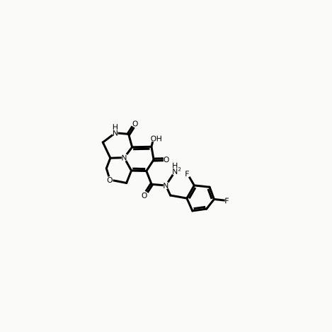 NN(Cc1ccc(F)cc1F)C(=O)c1c2n3c(c(O)c1=O)C(=O)NCC3COC2